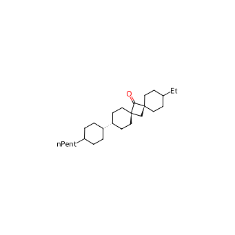 CCCCCC1CCC([C@H]2CC[C@]3(CC2)C[C@@]2(CCC(CC)CC2)C3=O)CC1